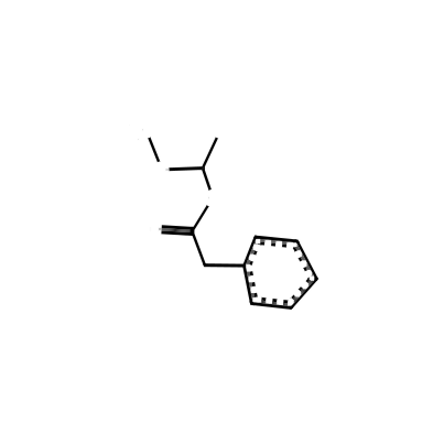 CCOC(=O)OC(C)OC(=O)Cc1cc[c]cc1